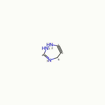 C1#CNNC=NC1